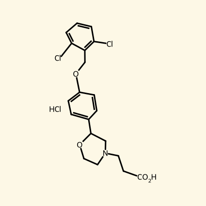 Cl.O=C(O)CCN1CCOC(c2ccc(OCc3c(Cl)cccc3Cl)cc2)C1